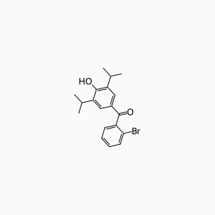 CC(C)c1cc(C(=O)c2ccccc2Br)cc(C(C)C)c1O